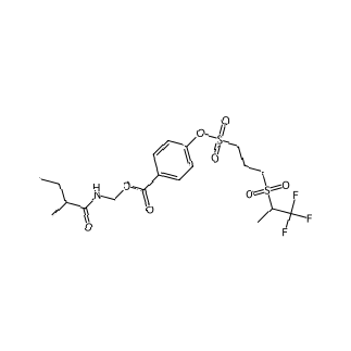 CCC(C)C(=O)NCOC(=O)c1ccc(OS(=O)(=O)CCCS(=O)(=O)C(C)C(F)(F)F)cc1